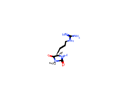 CC(=O)ON1C(=O)N[C@H](CCCNC(=N)N)C1=O